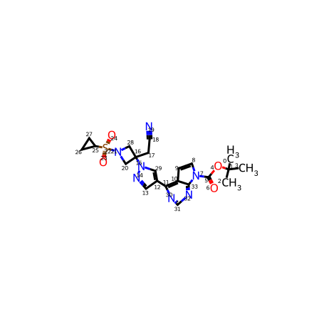 CC(C)(C)OC(=O)n1ccc2c(-c3cnn(C4(CC#N)CN(S(=O)(=O)C5CC5)C4)c3)ncnc21